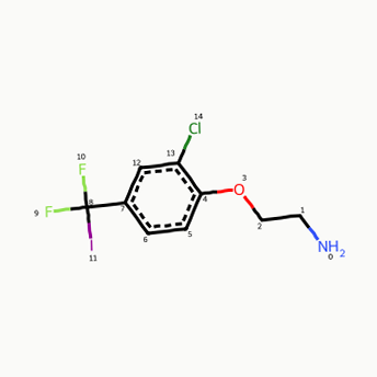 NCCOc1ccc(C(F)(F)I)cc1Cl